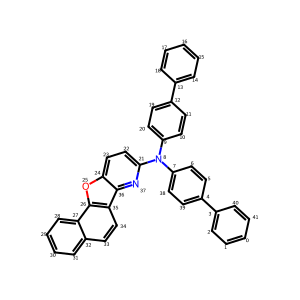 c1ccc(-c2ccc(N(c3ccc(-c4ccccc4)cc3)c3ccc4oc5c6ccccc6ccc5c4n3)cc2)cc1